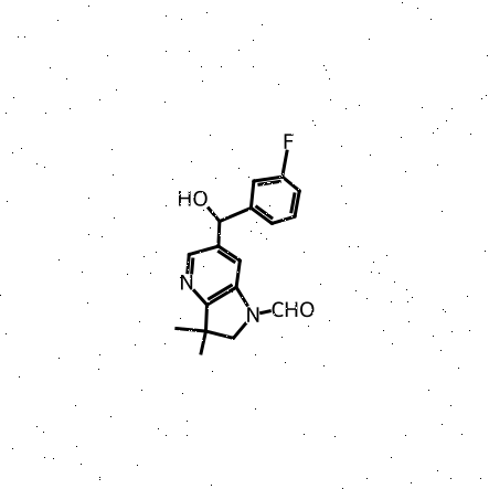 CC1(C)CN(C=O)c2cc(C(O)c3cccc(F)c3)cnc21